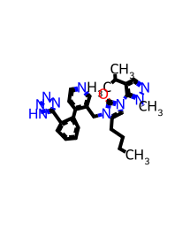 CCCCc1cn(-c2c(C(C)C)cnn2C)c(=O)n1Cc1cnccc1-c1ccccc1-c1nnn[nH]1